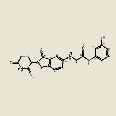 O=C1CCC(N2Cc3ccc(NCC(=O)Nc4cccc(I)c4)cc3C2=O)C(=O)N1